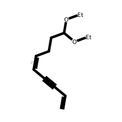 C=CC#C/C=C\CCC(OCC)OCC